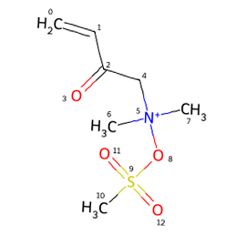 C=CC(=O)C[N+](C)(C)OS(C)(=O)=O